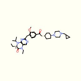 CC[C@@H]1C(=O)N(CC)c2cnc(Cc3ccc(C(=O)C[C@H]4CC[C@H](N5CCN(CC6CC6)CC5)CC4)cc3OC)nc2N1C(C)C